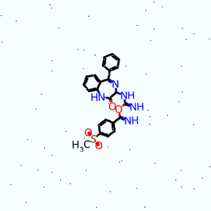 CS(=O)(=O)c1ccc(C(=N)OC(=N)NC2N=C(c3ccccc3)c3ccccc3NC2=O)cc1